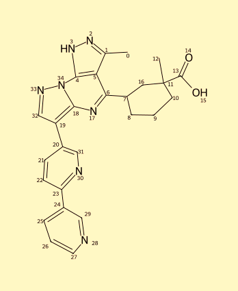 Cc1n[nH]c2c1c(C1CCCC(C)(C(=O)O)C1)nc1c(-c3ccc(-c4cccnc4)nc3)cnn12